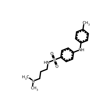 Cc1ccc(Nc2ccc(S(=O)(=O)NCCCN(C)C)cc2)cc1